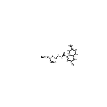 COC(COCCNc1nc(Cl)nc2ccc(Br)cc12)OC